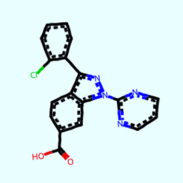 O=C(O)c1ccc2c(-c3ccccc3Cl)nn(-c3ncccn3)c2c1